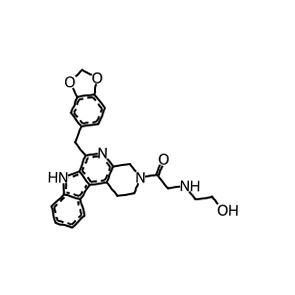 O=C(CNCCO)N1CCc2c(nc(Cc3ccc4c(c3)OCO4)c3[nH]c4ccccc4c23)C1